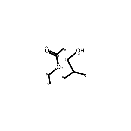 CC(C)CO.CCOC(C)=O